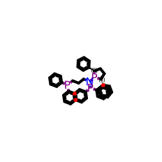 c1ccc([C@H]2CC[C@H](c3ccccc3)P2N(CCCP(c2ccccc2)c2ccccc2)P(c2ccccc2)c2ccccc2)cc1